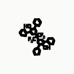 Oc1c(-c2ccccc2)cc(C(c2cc(-c3ccccc3)c(O)c(-c3ccccc3)c2)(C(F)(F)F)C(F)(F)F)cc1-c1ccccc1